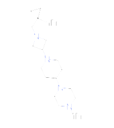 CCCC1(CN2CC(N3CCC(N4CCN(C(C)C)CC4)CC3)C2)CC1